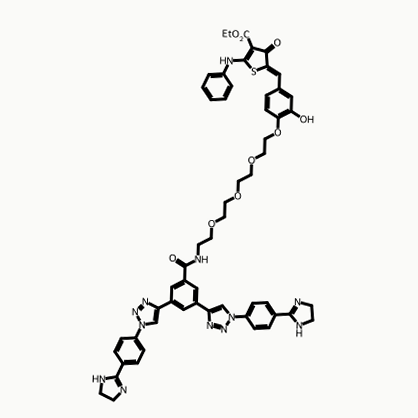 CCOC(=O)C1=C(Nc2ccccc2)S/C(=C\c2ccc(OCCOCCOCCOCCNC(=O)c3cc(-c4cn(-c5ccc(C6=NCCN6)cc5)nn4)cc(-c4cn(-c5ccc(C6=NCCN6)cc5)nn4)c3)c(O)c2)C1=O